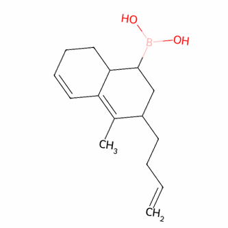 C=CCCC1CC(B(O)O)C2CCC=CC2=C1C